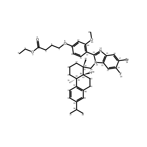 CCOC(=O)CCCOc1ccc(-c2nc3cc(Br)c(F)cc3n2C[C@@]2(C)CCC[C@]3(C)c4ccc(C(C)C)cc4CC[C@@H]23)c(OC)c1